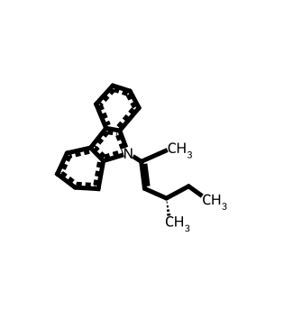 CC[C@H](C)/C=C(\C)n1c2ccccc2c2ccccc21